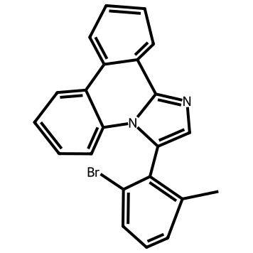 Cc1cccc(Br)c1-c1cnc2c3ccccc3c3ccccc3n12